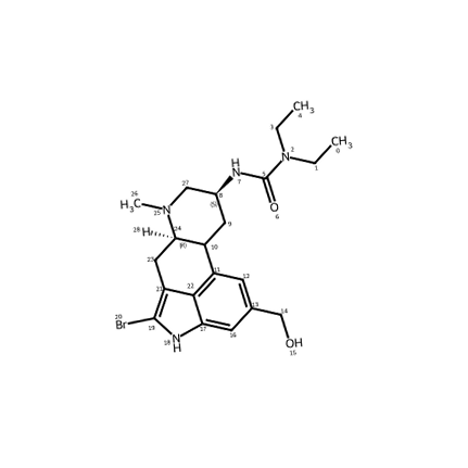 CCN(CC)C(=O)N[C@H]1CC2c3cc(CO)cc4[nH]c(Br)c(c34)C[C@H]2N(C)C1